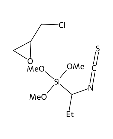 CCC(N=C=S)[Si](OC)(OC)OC.ClCC1CO1